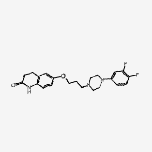 O=C1CCc2cc(OCCCN3CCN(c4ccc(F)c(F)c4)CC3)ccc2N1